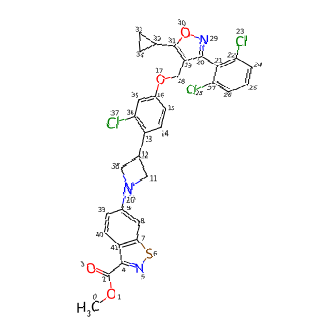 COC(=O)c1nsc2cc(N3CC(c4ccc(OCc5c(-c6c(Cl)cccc6Cl)noc5C5CC5)cc4Cl)C3)ccc12